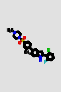 Cc1cc(S(=O)(=O)N2CCN(C)CC2)ccc1-c1ccc2[nH]c(-c3c(F)cccc3Cl)cc2c1